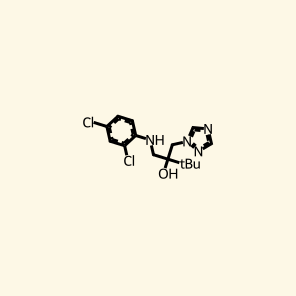 CC(C)(C)C(O)(CNc1ccc(Cl)cc1Cl)Cn1cncn1